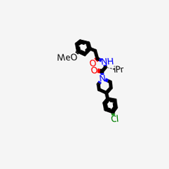 COc1cccc(CC(=O)N[C@@H](C(=O)N2CCC(c3ccc(Cl)cc3)CC2)C(C)C)c1